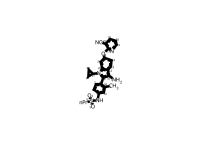 CCCS(=O)(=O)Nc1ccc(-c2c(N)c3ccc(Oc4ncccc4C#N)cc3n2C2CC2)c(C)c1